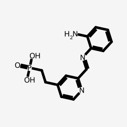 Nc1ccccc1/N=C/c1cc(CCP(=O)(O)O)ccn1